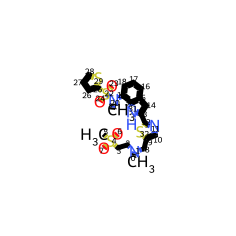 CN(CCS(C)(=O)=O)Cc1cnc(-c2cc3cccc(N(C)S(=O)(=O)c4cccs4)c3[nH]2)s1